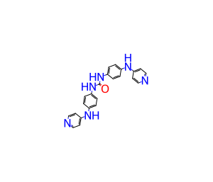 O=C(Nc1ccc(Nc2ccncc2)cc1)Nc1ccc(Nc2ccncc2)cc1